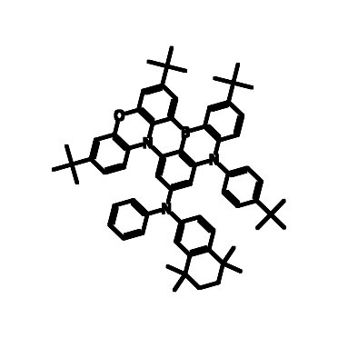 CC(C)(C)c1ccc(N2c3ccc(C(C)(C)C)cc3B3c4cc(C(C)(C)C)cc5c4N(c4ccc(C(C)(C)C)cc4O5)c4cc(N(c5ccccc5)c5ccc6c(c5)C(C)(C)CCC6(C)C)cc2c43)cc1